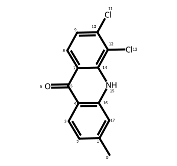 Cc1ccc2c(=O)c3ccc(Cl)c(Cl)c3[nH]c2c1